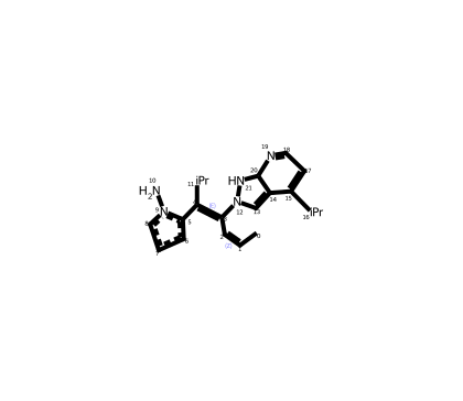 C/C=C\C(=C(/c1cccn1N)C(C)C)N1C=C2C(C(C)C)=CC=NC2N1